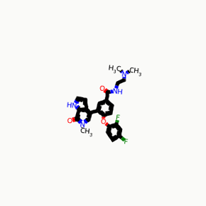 CN(C)CCNC(=O)c1ccc(Oc2ccc(F)cc2F)c(-c2cn(C)c(=O)c3[nH]ccc23)c1